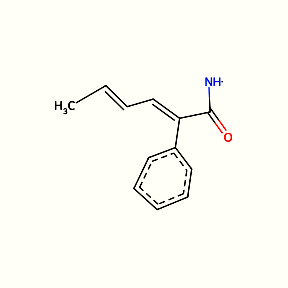 C/C=C/C=C(/C([NH])=O)c1ccccc1